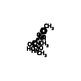 CNC(=O)c1c(O)c(=O)cc(CNS(=O)(=O)c2ccc(C)cc2)n1C